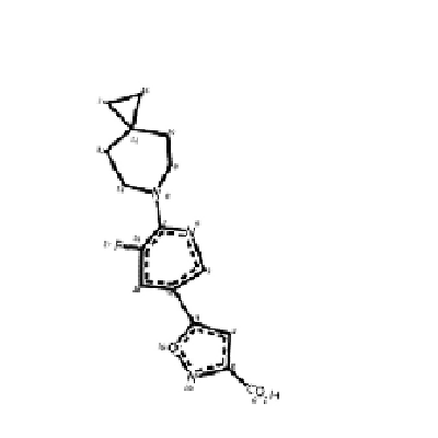 O=C(O)c1cc(-c2cnc(N3CCC4(CC3)CC4)c(F)c2)on1